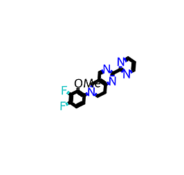 COc1c(N2CCc3nc(-c4ncccn4)ncc3C2)ccc(F)c1F